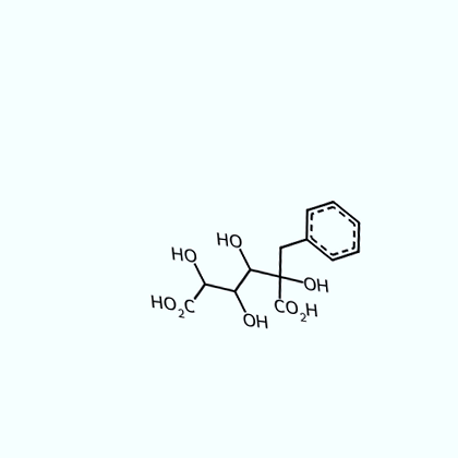 O=C(O)C(O)C(O)C(O)C(O)(Cc1ccccc1)C(=O)O